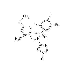 COc1ccc(CN(c2ncc(F)s2)S(=O)(=O)c2cc(Br)c(F)cc2F)c(C)c1